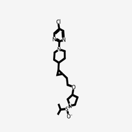 CC(C)[S+]([O-])N1CCC(OCCC2CC2C2CCN(c3ncc(Cl)cn3)CC2)C1